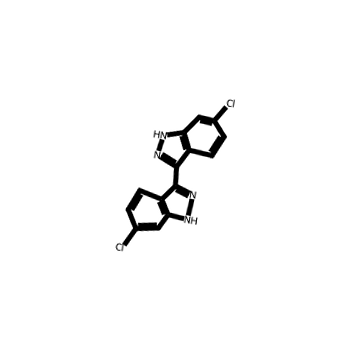 Clc1ccc2c(-c3n[nH]c4cc(Cl)ccc34)n[nH]c2c1